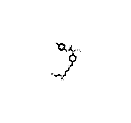 CCN(CCO)CCCOCC1CCC(N(C)C(=O)Oc2ccc(Cl)cc2)CC1